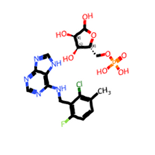 Cc1ccc(F)c(CNc2ncnc3nc[nH]c23)c1Cl.O=P(O)(O)OC[C@H]1OC(O)[C@H](O)[C@@H]1O